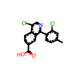 Cc1ccc(-c2ncc(Cl)c3ccc(C(=O)O)cc23)c(Cl)c1